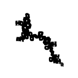 CCCC1OC2CC3C4CCC5=CC(=O)C=C[C@@]5(C)C4C(O)CC3(C)C2(C(=O)COC(=O)CCC(=O)OCc2ccc(NC(=O)CCCCNC(N)=O)cc2)O1